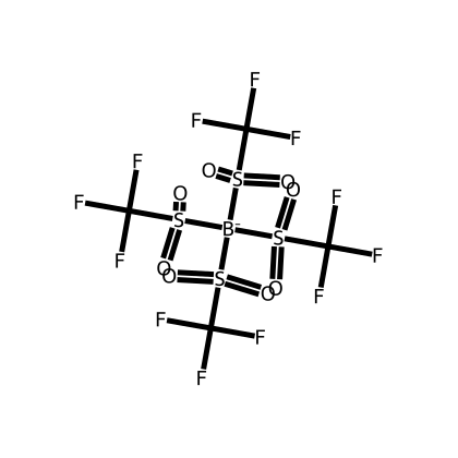 O=S(=O)([B-](S(=O)(=O)C(F)(F)F)(S(=O)(=O)C(F)(F)F)S(=O)(=O)C(F)(F)F)C(F)(F)F